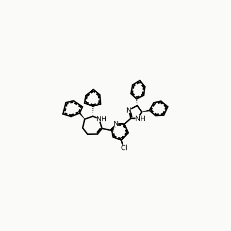 Clc1cc(C2=CCC[C@@H](c3ccccc3)[C@H](c3ccccc3)N2)nc(C2=N[C@H](c3ccccc3)[C@@H](c3ccccc3)N2)c1